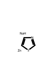 [NaH].[Zn].c1cscn1